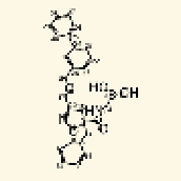 O=C(NCB(O)O)C1(Cc2ccccc2)CC(COCc2cccc(-c3ccccc3)c2)=NO1